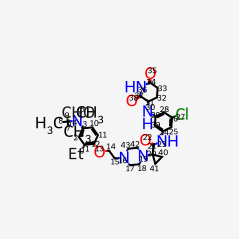 CCc1cc(N(C)C(C)(C)C=O)ccc1OCCN1CCN(C2(C(=O)Nc3cc(Cl)cc(NC4CCC(=O)NC4=O)c3)CC2)CC1